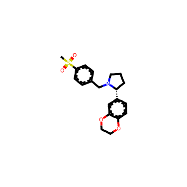 CS(=O)(=O)c1ccc(CN2CCC[C@@H]2c2ccc3c(c2)OCCO3)cc1